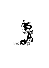 Cc1nc(N[C@H](C)c2cccc3c2OCC3(F)F)c2cc([C@]3(O)CC[C@@H](O)CC3)c3c(c2n1)CCO3